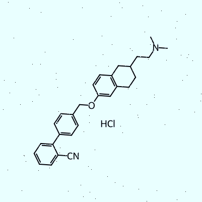 CN(C)CCC1CCc2cc(OCc3ccc(-c4ccccc4C#N)cc3)ccc2C1.Cl